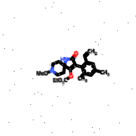 C=Cc1cc(C)cc(C)c1C1=C(OC(=O)OCC)C2(CCN(OC)CC2)NC1=O